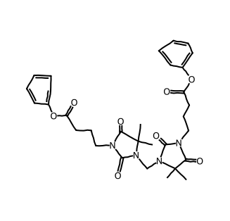 CC1(C)C(=O)N(CCCC(=O)Oc2ccccc2)C(=O)N1CN1C(=O)N(CCCC(=O)Oc2ccccc2)C(=O)C1(C)C